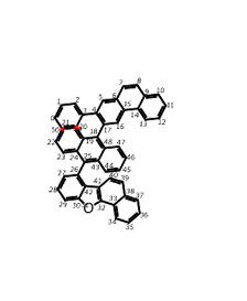 c1ccc(-c2cc3ccc4ccccc4c3cc2-c2c3ccccc3c(-c3cccc4oc5c6ccccc6ccc5c34)c3ccccc23)cc1